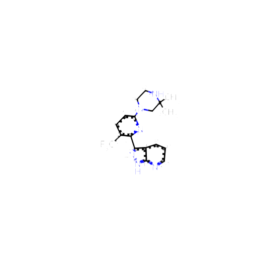 CC1(C)CN(c2ccc(C(F)(F)F)c(-c3n[nH]c4ncccc34)n2)CCN1